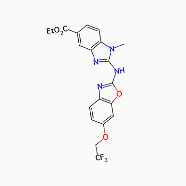 CCOC(=O)c1ccc2c(c1)nc(Nc1nc3ccc(OCC(F)(F)F)cc3o1)n2C